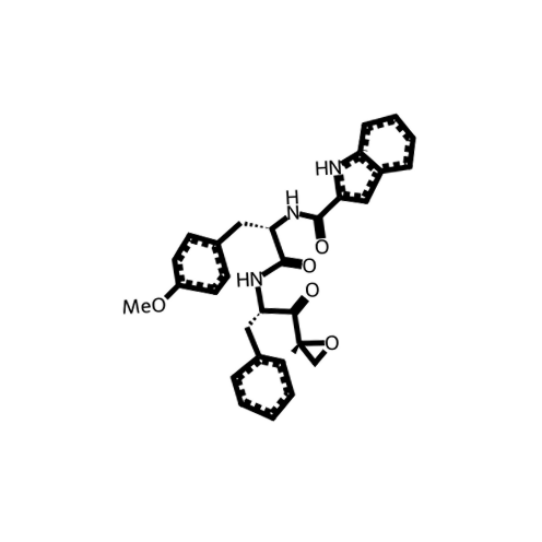 COc1ccc(C[C@H](NC(=O)c2cc3ccccc3[nH]2)C(=O)N[C@@H](Cc2ccccc2)C(=O)[C@@]2(C)CO2)cc1